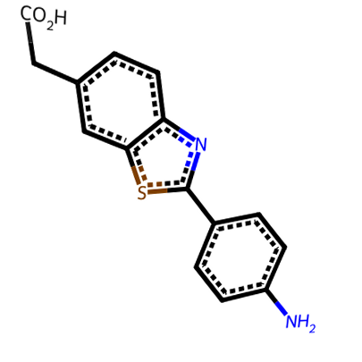 Nc1ccc(-c2nc3ccc(CC(=O)O)cc3s2)cc1